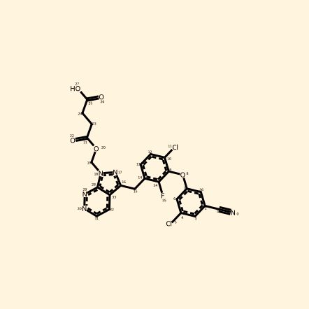 N#Cc1cc(Cl)cc(Oc2c(Cl)ccc(Cc3nn(COC(=O)CCC(=O)O)c4nnccc34)c2F)c1